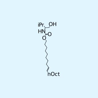 CCCCCCCC/C=C/CCCCCCCCOC(=O)NC(CO)C(C)C